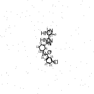 Cc1nc[nH]c1-c1nnc([C@H]2CCC[C@@H](N(C)C(=O)c3cccc(Cl)c3)C2)[nH]1